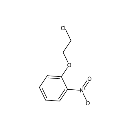 O=[N+]([O-])c1ccccc1OCCCl